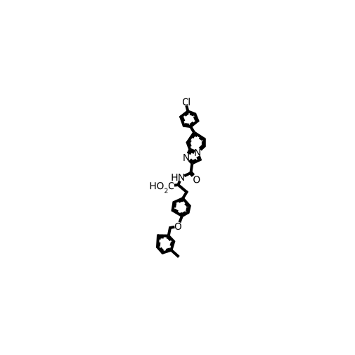 Cc1cccc(COc2ccc(CC(NC(=O)c3cn4ccc(-c5ccc(Cl)cc5)cc4n3)C(=O)O)cc2)c1